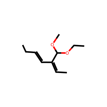 CC=C(C=CCC)C(OC)OCC